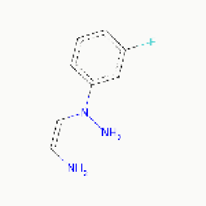 N/C=C\N(N)c1cccc(F)c1